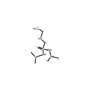 CN(C)NP(=S)(CNCC(=O)O)NN(C)C